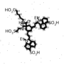 CCN1c2ccc(S(=O)(=O)O)c3cccc(c23)C1/C=C/C1=CC(=C/C=c2\c3cccc4c(S(=O)(=O)O)ccc(c43)n2CC)/CC(C(=O)NCCCCCC(=O)O)(C(=O)NCCS(=O)(=O)O)C1